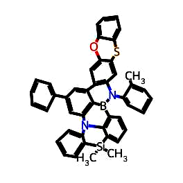 Cc1ccccc1N1B2c3cccc4c3N(c3ccccc3[Si]4(C)C)c3cc(-c4ccccc4)cc(c32)-c2cc3c(cc21)Sc1ccccc1O3